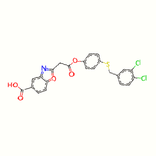 O=C(Cc1nc2cc(C(=O)O)ccc2o1)Oc1ccc(SCc2ccc(Cl)c(Cl)c2)cc1